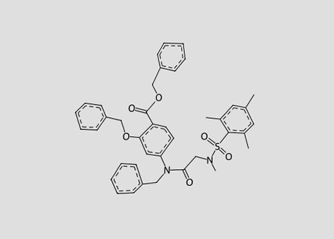 Cc1cc(C)c(S(=O)(=O)N(C)CC(=O)N(Cc2ccccc2)c2ccc(C(=O)OCc3ccccc3)c(OCc3ccccc3)c2)c(C)c1